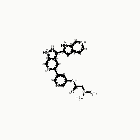 CN(C)CC(=O)Nc1cncc(-c2cc3c(-c4cc5ccncc5[nH]4)n[nH]c3cn2)c1